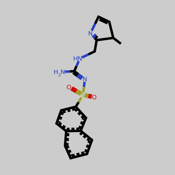 CC1C=CN=C1CN/C(N)=N/S(=O)(=O)c1ccc2ccccc2c1